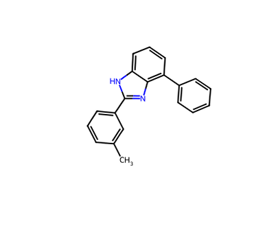 Cc1cccc(-c2nc3c(-c4ccccc4)cccc3[nH]2)c1